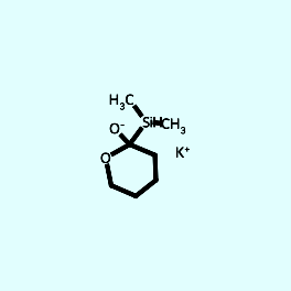 C[SiH](C)C1([O-])CCCCO1.[K+]